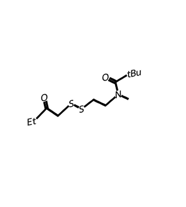 CCC(=O)CSSCCN(C)C(=O)C(C)(C)C